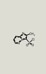 Cc1nc2cccnn2c1S(=O)(=O)Cl